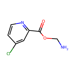 NCOC(=O)c1cc(Cl)ccn1